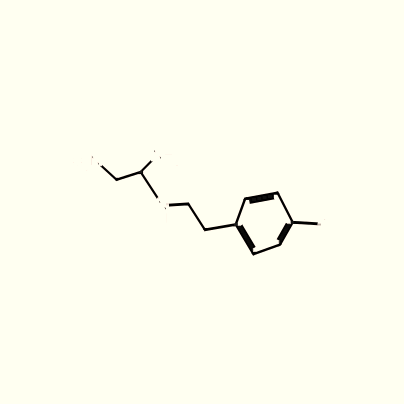 NC(C[N+](=O)[O-])NCCc1ccc(Cl)cc1